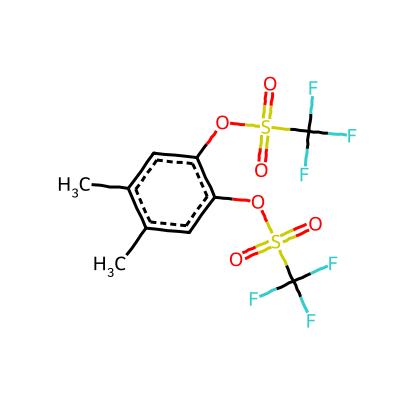 Cc1cc(OS(=O)(=O)C(F)(F)F)c(OS(=O)(=O)C(F)(F)F)cc1C